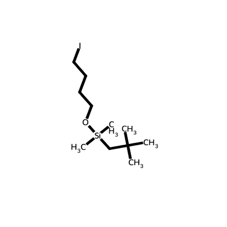 CC(C)(C)C[Si](C)(C)OCCCCI